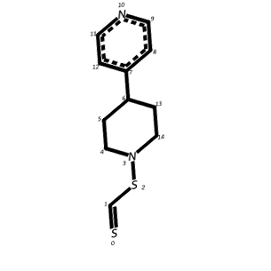 S=CSN1CCC(c2ccncc2)CC1